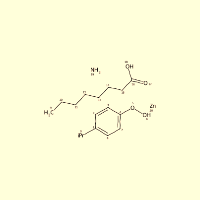 CC(C)c1ccc(OO)cc1.CCCCCCCC(=O)O.N.[Zn]